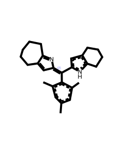 Cc1cc(C)c(/C(=C2\C=C3CCCCCC3=N2)c2cc3c([nH]2)CCCC3)c(C)c1